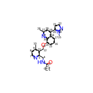 CCC(=O)NCc1nccc(C)c1COc1cccc2c(-c3ccnn3C)cc(C)nc12